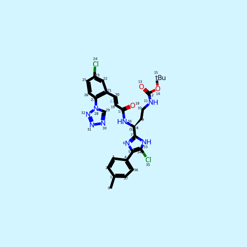 Cc1ccc(-c2nc([C@H](CCNC(=O)OC(C)(C)C)NC(=O)/C=C/c3cc(Cl)ccc3-n3cnnn3)[nH]c2Cl)cc1